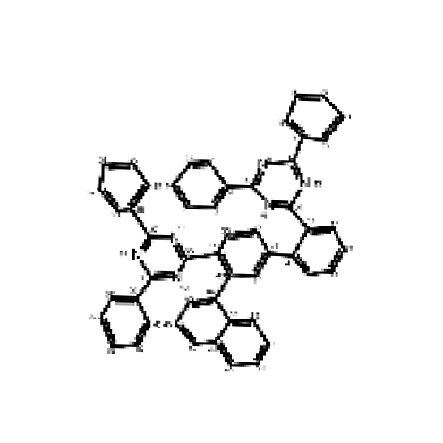 c1ccc(-c2nc(-c3ccccc3)nc(-c3ccccc3-c3ccc(-c4nc(-c5ccccc5)nc(-c5ccccc5)n4)c(-c4cccc5ccccc45)c3)n2)cc1